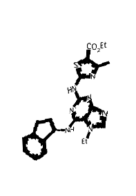 CCOC(=O)c1sc(Nc2nc(N[C@@H]3CCc4ccccc43)c3c(ncn3CC)n2)nc1C